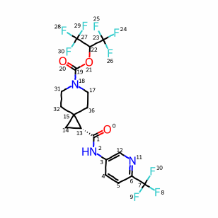 O=C(Nc1ccc(C(F)(F)F)nc1)[C@@H]1CC12CCN(C(=O)OC(C(F)(F)F)C(F)(F)F)CC2